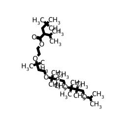 CC(C)OCC(C)(C)C(C)(C)OC[PH](C)(C)C(C)(C)OCCC(C)(C)OCCOC(=O)C(CC(C)(C)C)C(C)C